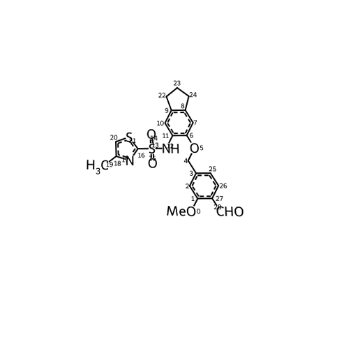 COc1cc(COc2cc3c(cc2NS(=O)(=O)c2nc(C)cs2)CCC3)ccc1C=O